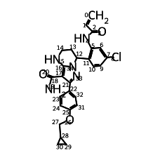 C=CC(=O)Nc1cc(Cl)ccc1C1CCNc2c(C(N)=O)c(-c3ccc(OCC4CC4)cc3)nn21